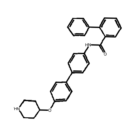 O=C(Nc1ccc(-c2ccc(OC3CCNCC3)cc2)cc1)c1ccccc1-c1ccccc1